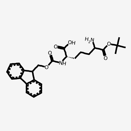 CC(C)(C)OC(=O)C(N)CCC[C@H](NC(=O)OCC1c2ccccc2-c2ccccc21)C(=O)O